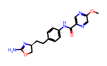 COc1cnc(C(=O)Nc2ccc(CC[C@H]3COC(N)=N3)cc2)cn1